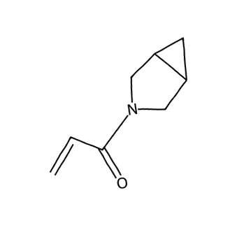 C=CC(=O)N1CC2CC2C1